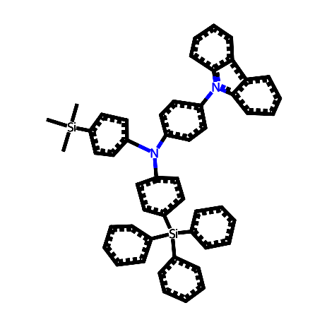 C[Si](C)(C)c1ccc(N(c2ccc(-n3c4ccccc4c4ccccc43)cc2)c2ccc([Si](c3ccccc3)(c3ccccc3)c3ccccc3)cc2)cc1